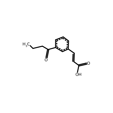 CCCC(=O)c1cccc(C=CC(=O)O)c1